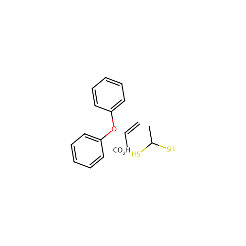 C=CC(=O)O.CC(S)S.c1ccc(Oc2ccccc2)cc1